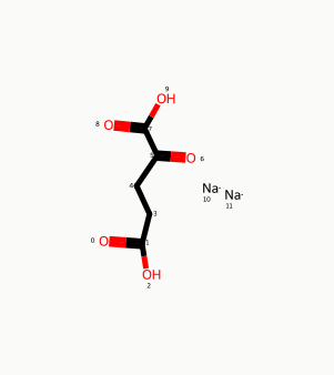 O=C(O)CCC(=O)C(=O)O.[Na].[Na]